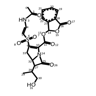 CC(=O)NC=CS(=O)(=O)C1=C(C(=O)OC2OC(=O)c3ccccc32)N2C(=O)C(C(C)CO)C2C1